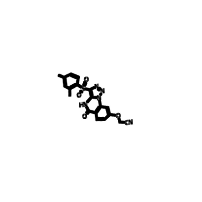 Cc1ccc(S(=O)(=O)c2nnn3c2[nH]c(=O)c2ccc(OCC#N)cc23)c(C)c1